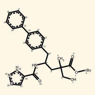 CCCCOC(=O)C(C)(CO)CC(Cc1ccc(-c2ccccc2)cc1)NC(=O)c1cnn[nH]1